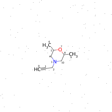 C#CCN1CC(C)OC(C)C1